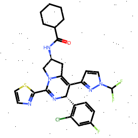 O=C(N[C@H]1CC2=C(c3ccn(C(F)F)n3)[C@H](c3ccc(F)cc3Cl)N=C(c3nccs3)N2C1)C1CCCCC1